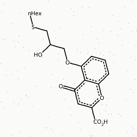 CCCCCCSCC(O)COc1cccc2oc(C(=O)O)cc(=O)c12